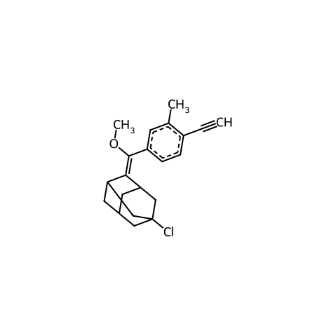 C#Cc1ccc(C(OC)=C2C3CC4CC2CC(Cl)(C4)C3)cc1C